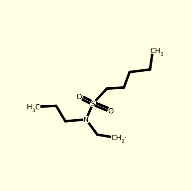 [CH2]CN(CCC)S(=O)(=O)CCCCC